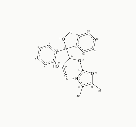 COC(c1ccccc1)(c1ccccc1)C(Oc1nc(C)c(C)o1)C(=O)O